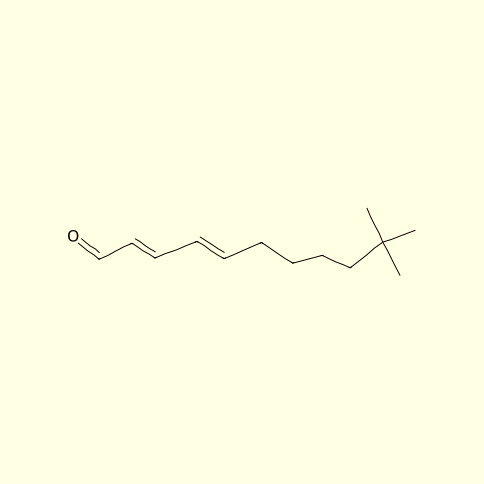 CC(C)(C)CCCCC=CC=CC=O